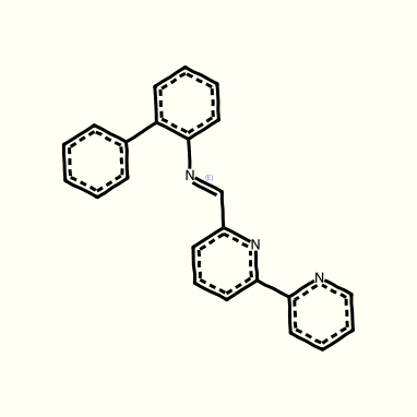 C(=N\c1ccccc1-c1ccccc1)/c1cccc(-c2ccccn2)n1